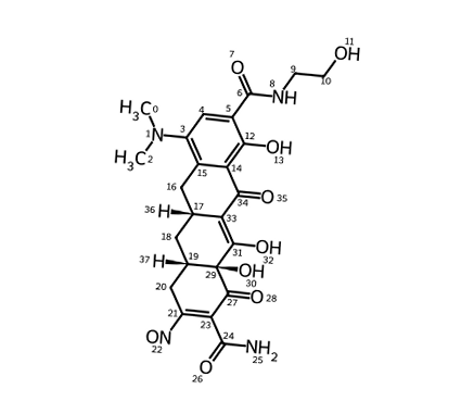 CN(C)c1cc(C(=O)NCCO)c(O)c2c1C[C@H]1C[C@H]3CC(N=O)=C(C(N)=O)C(=O)[C@@]3(O)C(O)=C1C2=O